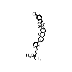 CN(C)CCSc1nccc(N2CCC(CN3CCN(S(=O)(=O)c4cc5ccc(Cl)cc5s4)CC3=O)CC2)n1